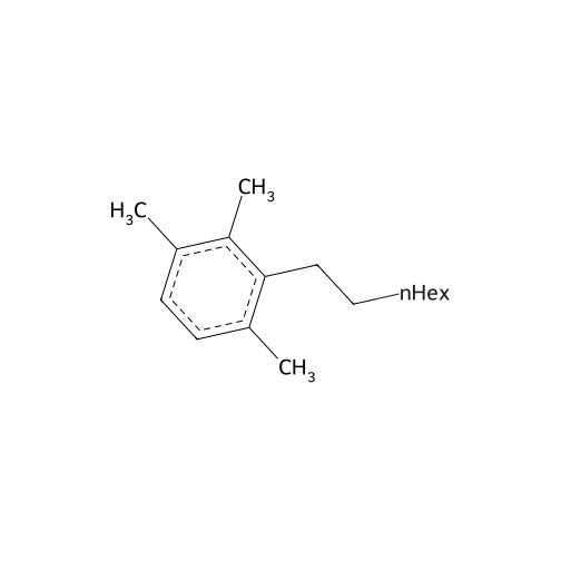 [CH2]CCCCCCCc1c(C)ccc(C)c1C